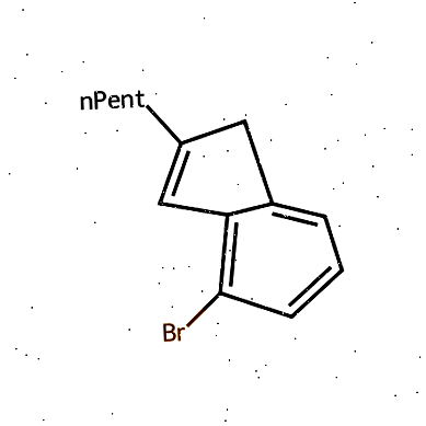 CCCCCC1=Cc2c(Br)cccc2C1